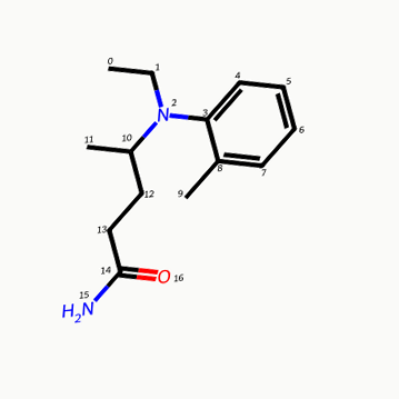 CCN(c1ccccc1C)C(C)CCC(N)=O